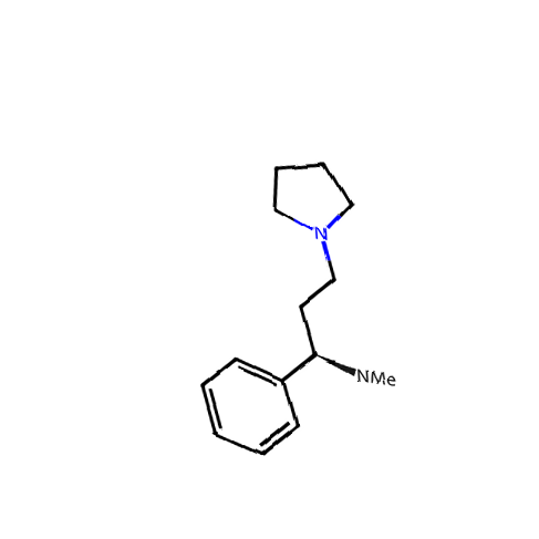 CN[C@H](CCN1CCCC1)c1ccccc1